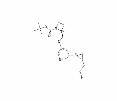 CC(C)(C)OC(=O)N1CC[C@H]1COc1cncc([C@@H]2CC2CCF)c1